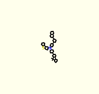 CC1(C)c2ccccc2-c2ccc(-c3ccc(N(c4ccc(-c5cccc(-c6ccc7ccccc7c6)c5)cc4)c4ccc5sc6ccccc6c5c4)cc3)cc21